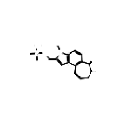 Cn1c(CO[Si](C)(C)C(C)(C)C)cc2c3c(ccc21)C(=O)CCC=C3